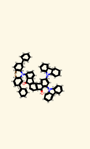 O=c1c2ccc3c(=O)c4c(-n5c6ccccc6c6ccccc65)cc(-n5c6ccccc6c6ccccc65)cc4c3c2c2cccc(N3c4cc(-c5ccccc5)ccc4Sc4ccc(-c5ccccc5)cc43)c12